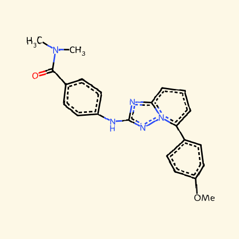 COc1ccc(-c2cccc3nc(Nc4ccc(C(=O)N(C)C)cc4)nn23)cc1